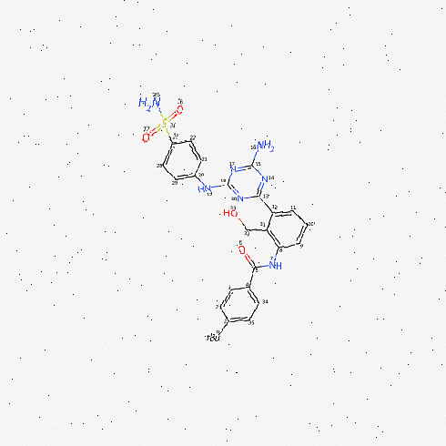 CC(C)(C)c1ccc(C(=O)Nc2cccc(-c3nc(N)nc(Nc4ccc(S(N)(=O)=O)cc4)n3)c2CO)cc1